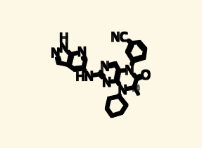 C[C@@H]1C(=O)N(c2cccc(C#N)c2)c2cnc(Nc3cnc4[nH]ncc4c3)nc2N1C1CCCCC1